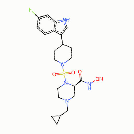 O=C(NO)[C@H]1CN(CC2CC2)CCN1S(=O)(=O)N1CCC(c2c[nH]c3cc(F)ccc23)CC1